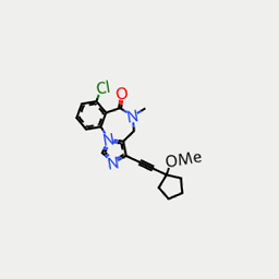 COC1(C#Cc2ncn3c2CN(C)C(=O)c2c(Cl)cccc2-3)CCCC1